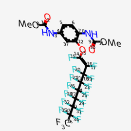 COC(=O)Nc1ccc(NC(=O)OC)c(OC(F)=C(F)C(F)(F)C(F)(F)C(F)(F)C(F)(F)C(F)(F)C(F)(F)C(F)(F)F)c1